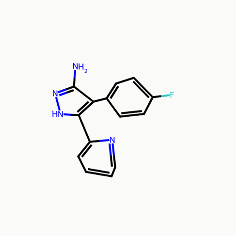 Nc1n[nH]c(-c2ccccn2)c1-c1ccc(F)cc1